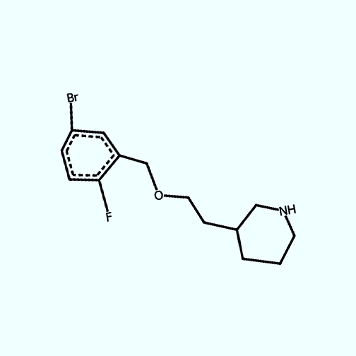 Fc1ccc(Br)cc1COCCC1CCCNC1